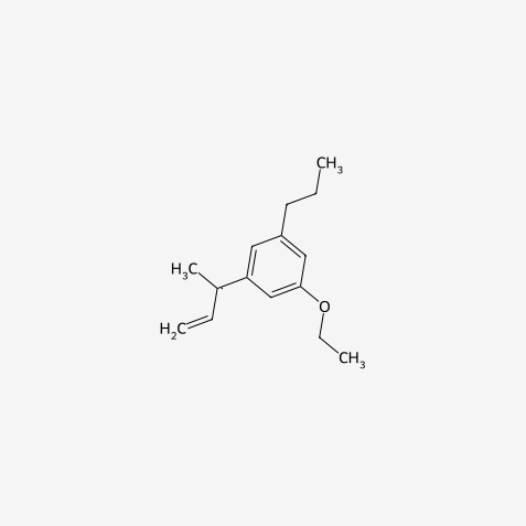 C=C[C](C)c1cc(CCC)cc(OCC)c1